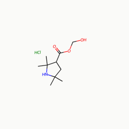 CC1(C)CC(C(=O)OCO)C(C)(C)N1.Cl